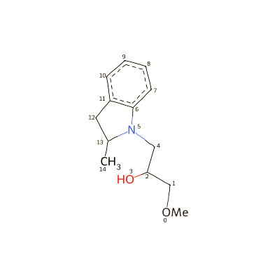 COCC(O)CN1c2ccccc2CC1C